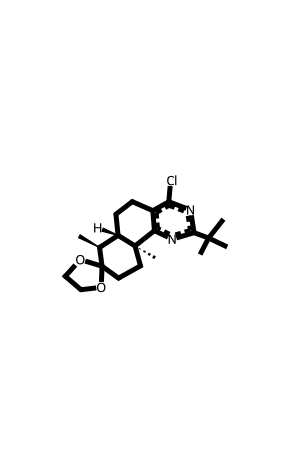 C[C@H]1[C@@H]2CCc3c(Cl)nc(C(C)(C)C)nc3[C@@]2(C)CCC12OCCO2